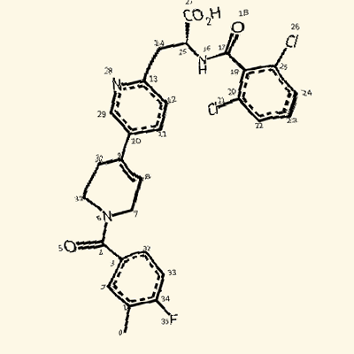 Cc1cc(C(=O)N2CC=C(c3ccc(C[C@H](NC(=O)c4c(Cl)cccc4Cl)C(=O)O)nc3)CC2)ccc1F